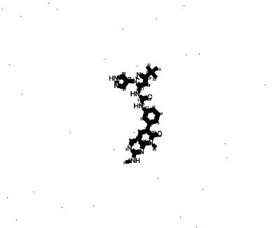 CNc1ncc2cc(-c3cccc(NC(=O)Nc4cc(C(C)(C)C)nn4-c4cn[nH]c4)c3)c(=O)n(C)c2n1